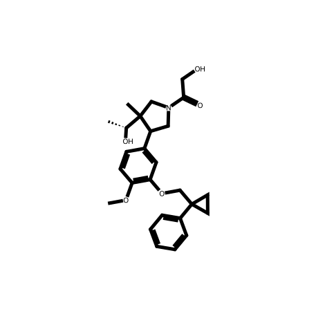 COc1ccc(C2CN(C(=O)CO)CC2(C)[C@@H](C)O)cc1OCC1(c2ccccc2)CC1